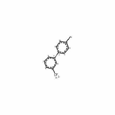 Cc1ccc(-c2cc[c]c(C(F)(F)F)c2)cc1